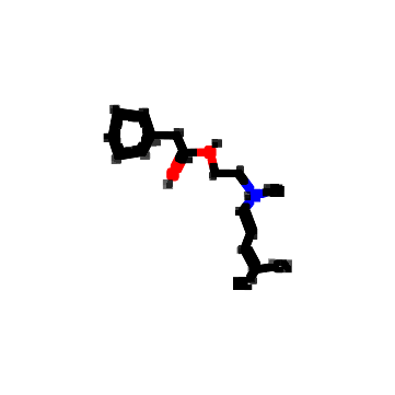 CCN(/C=C/C=C(C#N)C#N)CCOC(=O)Cc1ccccc1